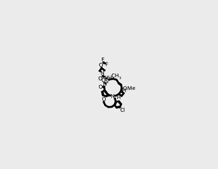 CO[C@H]1/C=C/C[C@H](C)CS(=O)(NC(=O)N2CC(OC(F)F)C2)=NC(=O)c2ccc3c(c2)N(Cc2ccc(Cl)cc2CCCCO3)C[C@@H]2CC[C@H]21